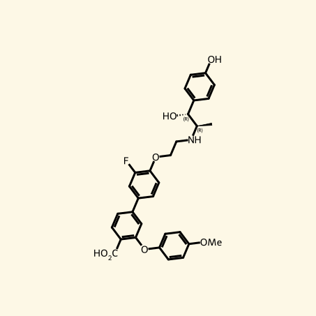 COc1ccc(Oc2cc(-c3ccc(OCCN[C@H](C)[C@H](O)c4ccc(O)cc4)c(F)c3)ccc2C(=O)O)cc1